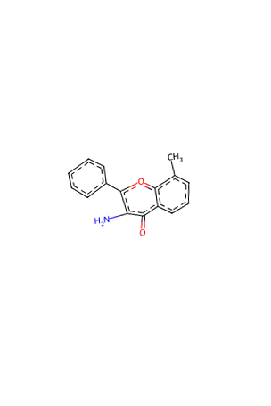 Cc1cccc2c(=O)c(N)c(-c3ccccc3)oc12